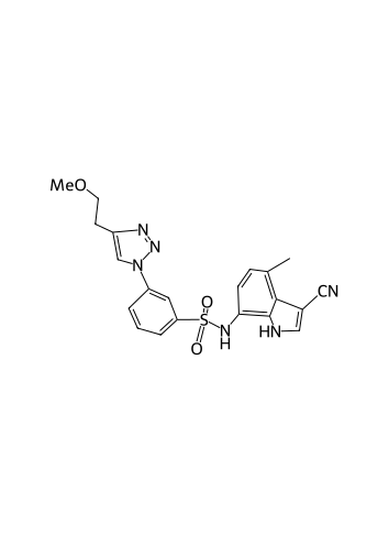 COCCc1cn(-c2cccc(S(=O)(=O)Nc3ccc(C)c4c(C#N)c[nH]c34)c2)nn1